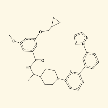 COc1cc(OCC2CC2)cc(C(=O)NC(C)C2CCN(c3ccnc(-c4cccc(-n5cccn5)c4)n3)CC2)c1